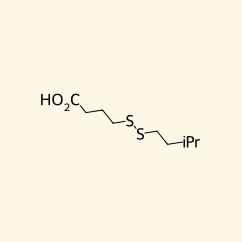 CC(C)CCSSCCCC(=O)O